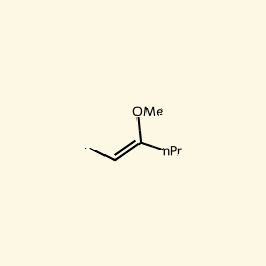 [CH2]C=C(CCC)OC